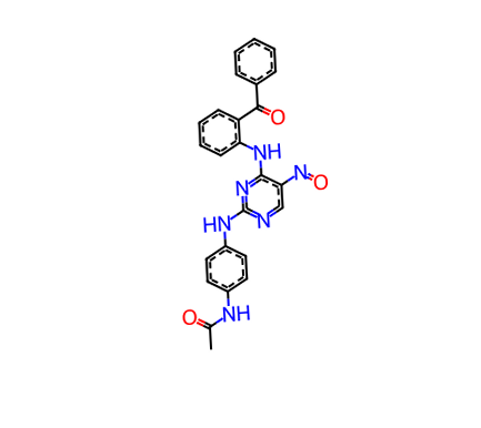 CC(=O)Nc1ccc(Nc2ncc(N=O)c(Nc3ccccc3C(=O)c3ccccc3)n2)cc1